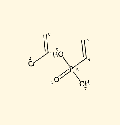 C=CCl.C=CP(=O)(O)O